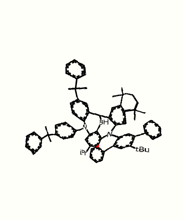 CC(C)c1cc2c3c(c1)N(c1cc(-c4ccccc4)c(C(C)(C)C)cc1-c1ccccc1)c1cc4c(cc1C(B3)c1cc(C(C)(C)c3ccccc3)ccc1N2c1ccc(C(C)(C)c2ccccc2)cc1)C(C)(C)CCC4(C)C